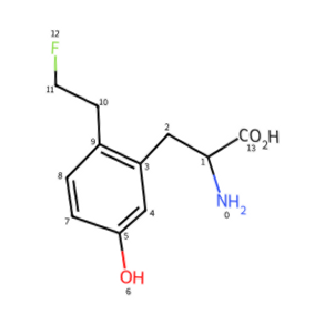 NC(Cc1cc(O)ccc1CCF)C(=O)O